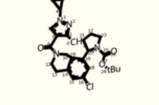 Cc1nn(C2CC2)cc1C(=O)N1CCc2cc(Cl)cc(C3CCCN3C(=O)OC(C)(C)C)c2C1